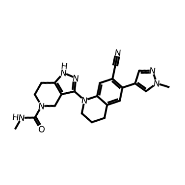 CNC(=O)N1CCc2[nH]nc(N3CCCc4cc(-c5cnn(C)c5)c(C#N)cc43)c2C1